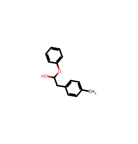 Cc1ccc(CC(O)Oc2ccccc2)cc1